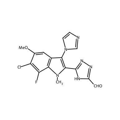 COc1cc2c(-n3ccnc3)c(-c3nnc(C=O)[nH]3)n(C)c2c(F)c1Cl